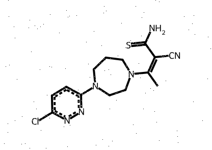 CC(=C(C#N)C(N)=S)N1CCCN(c2ccc(Cl)nn2)CC1